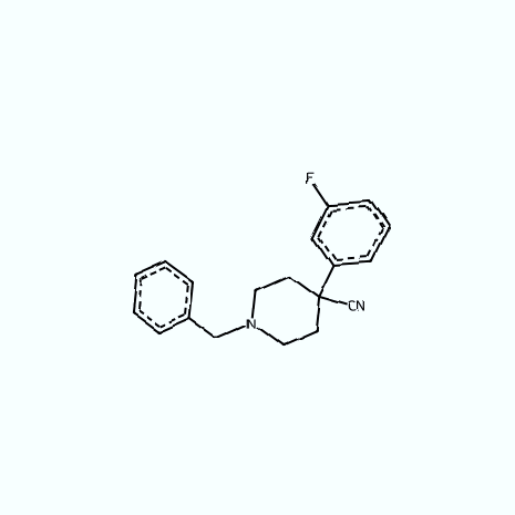 N#CC1(c2cccc(F)c2)CCN(Cc2ccccc2)CC1